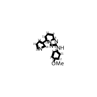 COc1ccc(Nc2nc3cccc(-c4cccnc4)n3n2)cc1